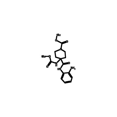 CC(C)(C)OC(=O)NC1(C(=O)Nc2ccccc2N)CCN(C(=O)OC(C)(C)C)CC1